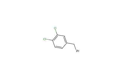 CC(C)Cc1ccc(Cl)c(Cl)c1